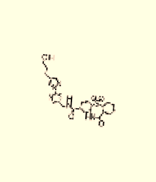 O=C(NCc1cnc(-n2cc(CCCO)cn2)s1)c1ccc2c(c1)NC(=O)c1ccccc1S2(=O)=O